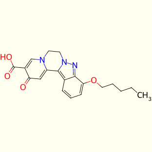 CCCCCOc1cccc2c3n(nc12)CCn1cc(C(=O)O)c(=O)cc1-3